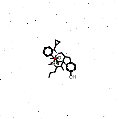 CCCC(C(C)C12c3cc(O)ccc3CC1CN(CC1CC1)C(C)C2(C)O)N(C)C(=O)c1ccccc1